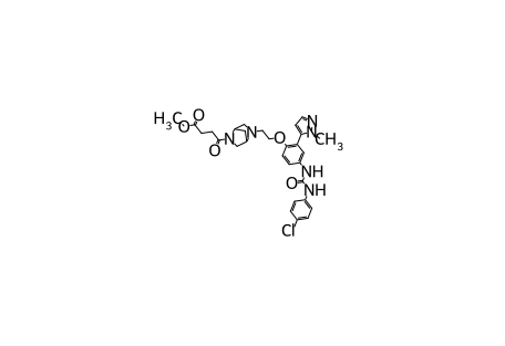 COC(=O)CCC(=O)N1CC2CC1CN2CCOc1ccc(NC(=O)Nc2ccc(Cl)cc2)cc1-c1ccnn1C